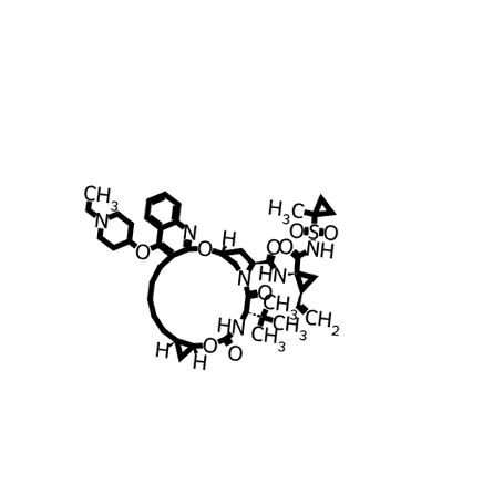 C=C[C@@H]1C[C@]1(NC(=O)[C@@H]1C[C@@H]2CN1C(=O)[C@H](C(C)(C)C)NC(=O)O[C@@H]1C[C@H]1CCCCCc1c(nc3ccccc3c1OC1CCN(CC)CC1)O2)C(=O)NS(=O)(=O)C1(C)CC1